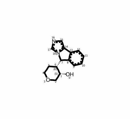 O[C@@H]1COCC[C@@H]1C1c2ccccc2-c2cncn21